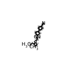 CC(C)CC1CCCN1CCc1nc2cc(-c3ccc(C#N)cc3)ccc2o1